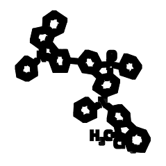 CC1(C)c2ccccc2-c2ccc(N(c3ccccc3)c3ccc4c(c3)-c3cc(-c5ccc6c(c5)c5c7ccccc7ccc5n6-c5ccccc5)ccc3P4(=O)c3ccccc3)cc21